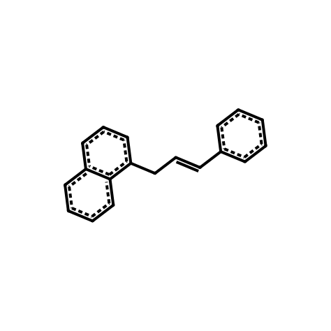 C(=C\c1ccccc1)/Cc1cccc2ccccc12